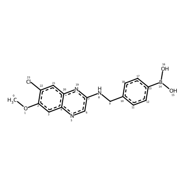 COc1cc2ncc(NCc3ccc(B(O)O)cc3)nc2cc1Cl